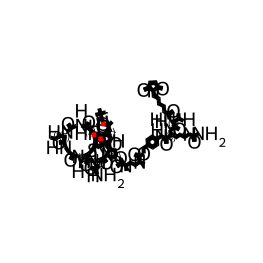 CC[C@H](C)[C@@H]1NC(=O)CNC(=O)[C@@H]2Cc3c([nH]c4ccccc34)SC[C@H](NC(=O)CNC1=O)C(=O)N[C@@H](CC(N)=O)C(=O)N1C[C@H](OC(=O)N(C)CCN(C)C(=O)OCc3ccc(NC(=O)[C@H](CCCNC(N)=O)NC(=O)[C@@H](NC(=O)CCCCCN4C(=O)C=CC4=O)C(C)C)cc3)CC1C(=O)N[C@@H]([C@@H](C)C(C)O[Si](C)(C)C(C)(C)C)C(=O)N2